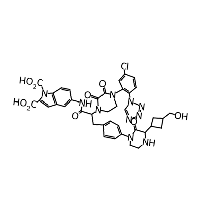 O=C(O)c1cc2cc(NC(=O)C(Cc3ccc(N4CCNC(C5CC(CO)C5)C4=O)cc3)N3CCN(c4cc(Cl)ccc4-n4cnnn4)C(=O)C3=O)ccc2n1C(=O)O